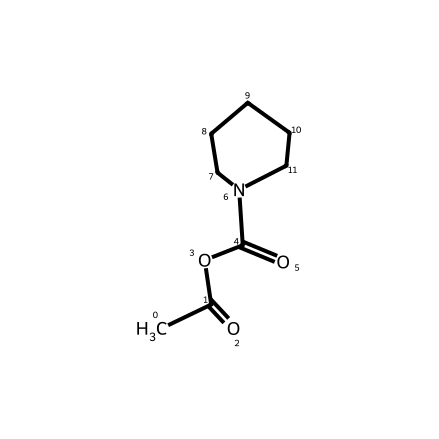 CC(=O)OC(=O)N1CCCCC1